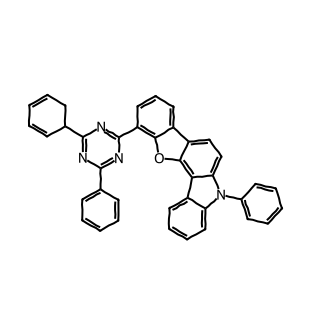 C1=CCC(c2nc(-c3ccccc3)nc(-c3cccc4c3oc3c4ccc4c3c3ccccc3n4-c3ccccc3)n2)C=C1